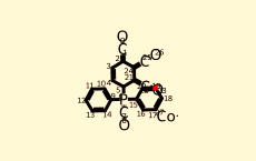 O=C=C1C=CC(P(=C=O)(c2ccccc2)c2ccccc2)C(=C=O)C1=C=O.[Co]